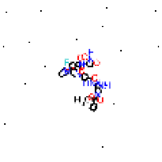 CO[C@@H](C(=O)N1Cc2[nH]nc(NC(=O)c3ccc(N4CCC(CN5C6CCC5CN(c5cc7c(cc5F)C(=O)N(C5CCC(=O)NC5=O)C7=O)C6)CC4)cc3)c2C1)c1ccccc1